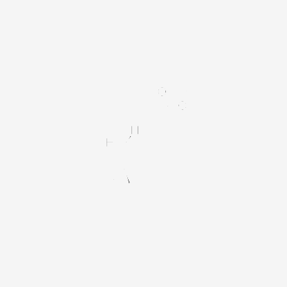 C=C[C@@]1(C)CC[C@H]2[C@@H]3CCC4=C(CCC5(C4)OCCO5)C3=CC[C@@]21C